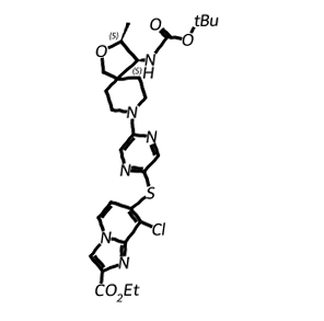 CCOC(=O)c1cn2ccc(Sc3cnc(N4CCC5(CC4)CO[C@@H](C)[C@H]5NC(=O)OC(C)(C)C)cn3)c(Cl)c2n1